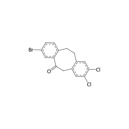 O=C1Cc2cc(Cl)c(Cl)cc2CCc2ccc(Br)cc21